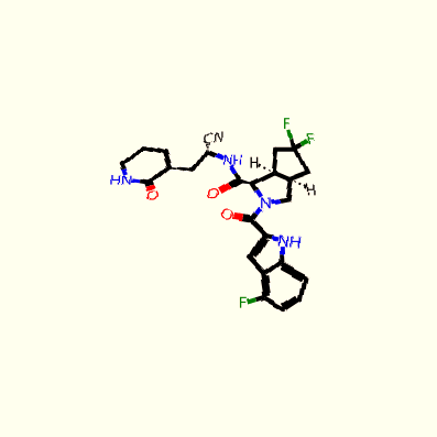 N#C[C@@H](C[C@@H]1CCCNC1=O)NC(=O)[C@H]1[C@H]2CC(F)(F)C[C@H]2CN1C(=O)c1cc2c(F)cccc2[nH]1